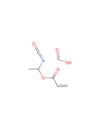 C=CC(=O)OC(C)N=C=O.O=CO